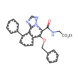 CCOC(=O)CNC(=O)c1c(OCc2ccccc2)c2cccc(-c3ccccc3)c2c2ncnn12